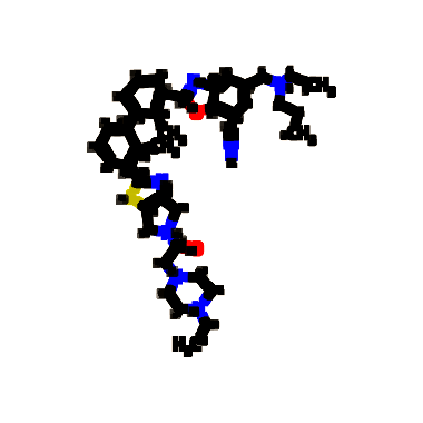 CCCN(CC)Cc1cc(C#N)c2oc(-c3cccc(-c4cccc(-c5nc6c(s5)CN(C(=O)CN5CCN(CC)CC5)C6)c4C)c3C)nc2c1